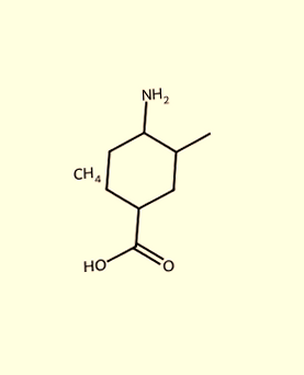 C.CC1CC(C(=O)O)CCC1N